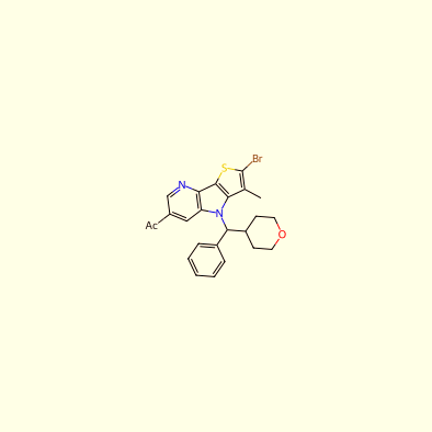 CC(=O)c1cnc2c3sc(Br)c(C)c3n(C(c3ccccc3)C3CCOCC3)c2c1